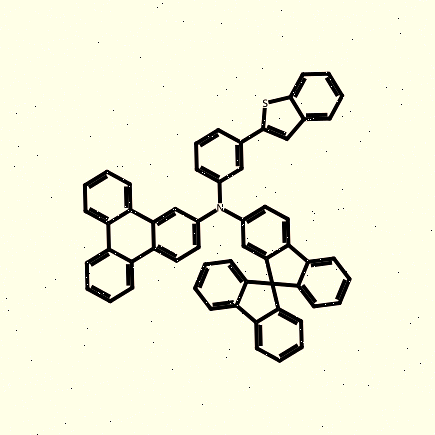 c1cc(-c2cc3ccccc3s2)cc(N(c2ccc3c(c2)C2(c4ccccc4-c4ccccc42)c2ccccc2-3)c2ccc3c4ccccc4c4ccccc4c3c2)c1